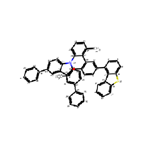 C/C=C/c1ccc(-c2cccc3sc4ccccc4c23)cc1-c1c(C)cccc1-n1c2ccc(-c3ccccc3)cc2c2cc(-c3ccccc3)ccc21